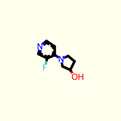 OC1CCN(c2ccncc2F)C1